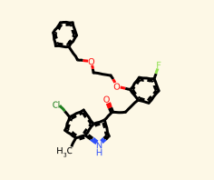 Cc1cc(Cl)cc2c(C(=O)Cc3ccc(F)cc3OCCOCc3ccccc3)c[nH]c12